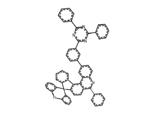 c1ccc(-c2nc(-c3ccccc3)nc(-c3cccc(-c4ccc5nc(-c6ccccc6)c6ccc7c(c6c5c4)-c4ccccc4C74c5ccccc5Oc5ccccc54)c3)n2)cc1